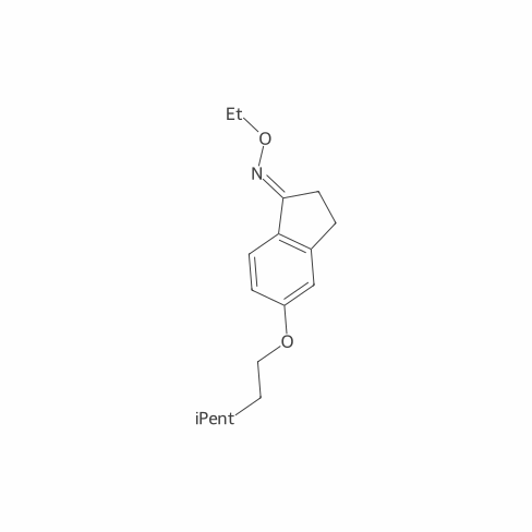 CCCC(C)CCOc1ccc2c(c1)CC/C2=N\OCC